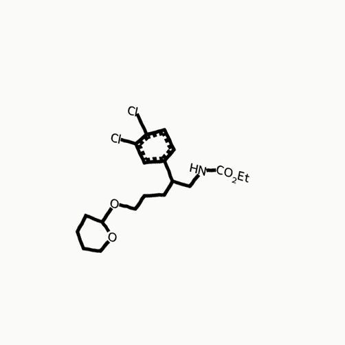 CCOC(=O)NCC(CCCOC1CCCCO1)c1ccc(Cl)c(Cl)c1